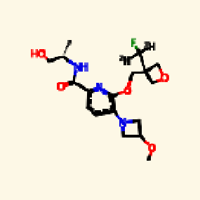 [2H]C([2H])(F)C1(COc2nc(C(=O)N[C@@H](C)CO)ccc2N2CC(OC)C2)COC1